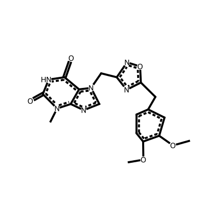 COc1ccc(Cc2nc(Cn3cnc4c3c(=O)[nH]c(=O)n4C)no2)cc1OC